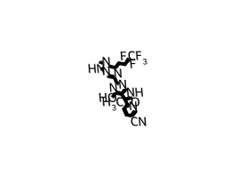 CC1(c2ccc(C#N)cn2)C(=O)Nc2nc(C3=CN4NCN=C4C(CCC(F)(F)C(F)(F)F)=N3)nc(O)c21